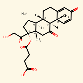 C[C@]12C=CC(=O)C=C1CC[C@@H]1[C@@H]2C(=O)C[C@@]2(C)[C@H]1CC[C@]2(OC(=O)CCC(=O)[O-])C(=O)CO.[Na+]